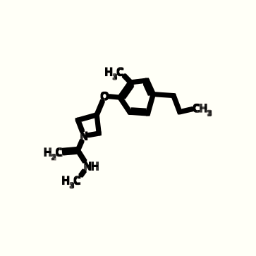 C=C(NC)N1CC(Oc2ccc(CCC)cc2C)C1